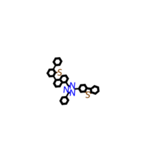 c1ccc(-c2nc(-c3ccc4c(c3)sc3ccccc34)nc(-c3ccc4c5c(cccc35)-c3cccc(-c5ccccc5)c3S4)n2)cc1